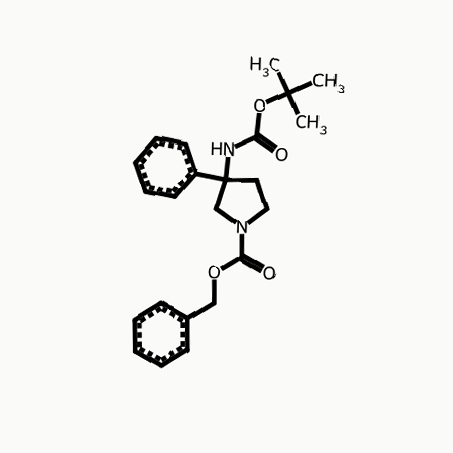 CC(C)(C)OC(=O)NC1(c2ccccc2)CCN(C(=O)OCc2ccccc2)C1